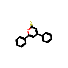 S=c1cc(-c2ccccc2)cc(-c2ccccc2)o1